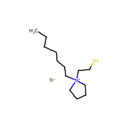 CCCCCCC[N+]1(CCS)CCCC1.[Br-]